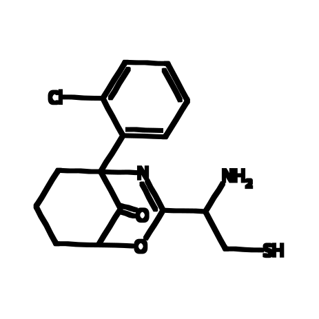 NC(CS)C1=NC2(c3ccccc3Cl)CCCC(O1)C2=O